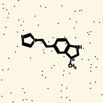 C[C@H]1CNc2ccc(CCn3ccnc3)cc21